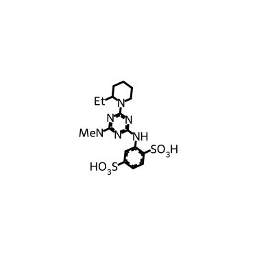 CCC1CCCCN1c1nc(NC)nc(Nc2cc(S(=O)(=O)O)ccc2S(=O)(=O)O)n1